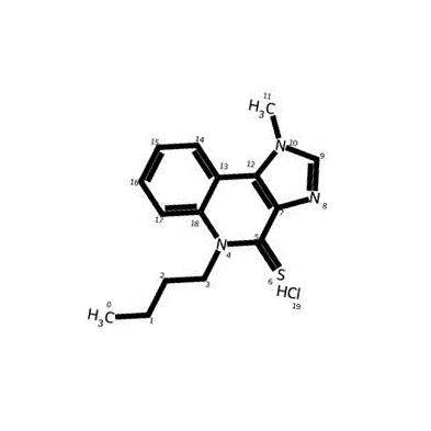 CCCCn1c(=S)c2ncn(C)c2c2ccccc21.Cl